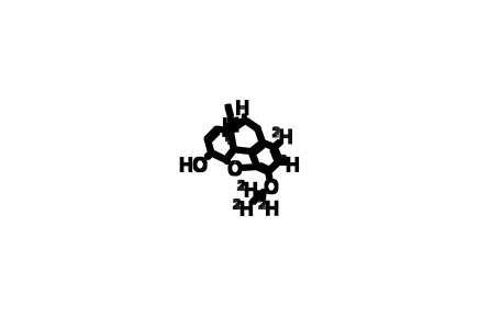 [2H]c1c([2H])c(OC([2H])([2H])[2H])c2c3c1C[C@@H]1[C@@H]4C=CC(O)C(O2)[C@]34CCN1C